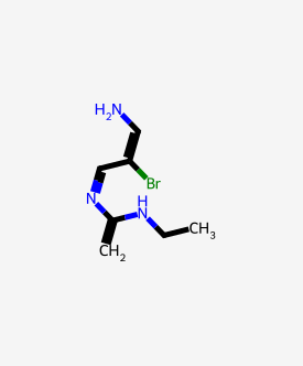 C=C(/N=C\C(Br)=C/N)NCC